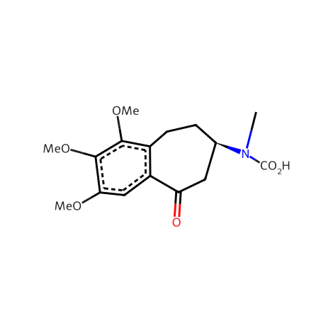 COc1cc2c(c(OC)c1OC)CC[C@@H](N(C)C(=O)O)CC2=O